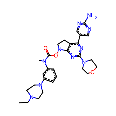 CCN1CCN(c2cccc(N(C)C(=O)ON3CCc4c(-c5cnc(N)nc5)nc(N5CCOCC5)nc43)c2)CC1